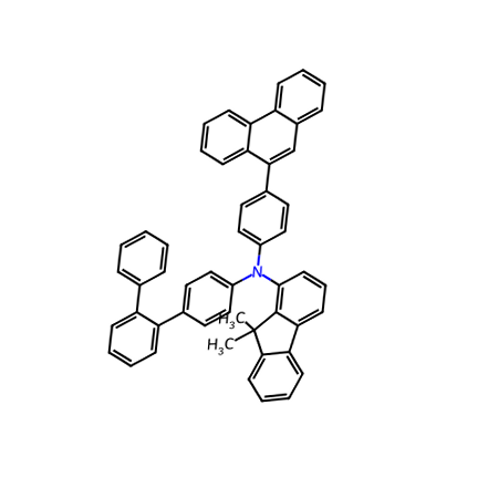 CC1(C)c2ccccc2-c2cccc(N(c3ccc(-c4ccccc4-c4ccccc4)cc3)c3ccc(-c4cc5ccccc5c5ccccc45)cc3)c21